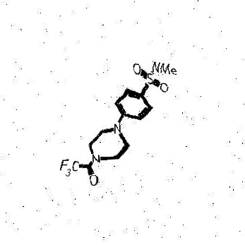 CNS(=O)(=O)c1ccc(N2CCN(C(=O)C(F)(F)F)CC2)cc1